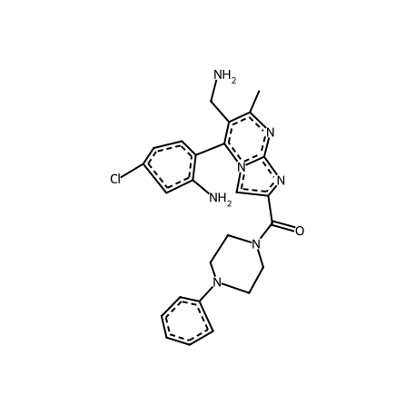 Cc1nc2nc(C(=O)N3CCN(c4ccccc4)CC3)cn2c(-c2ccc(Cl)cc2N)c1CN